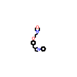 c1ccc(N2CCC(Cc3ccc(OCCCN4CCOCC4)cc3)C2)cc1